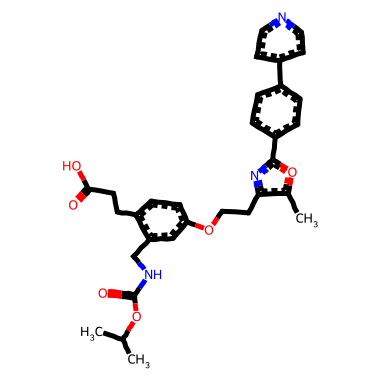 Cc1oc(-c2ccc(-c3ccncc3)cc2)nc1CCOc1ccc(CCC(=O)O)c(CNC(=O)OC(C)C)c1